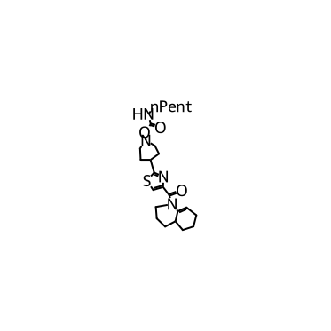 CCCCCNC(=O)ON1CCC(c2nc(C(=O)N3CCCC4CCCC=C43)cs2)CC1